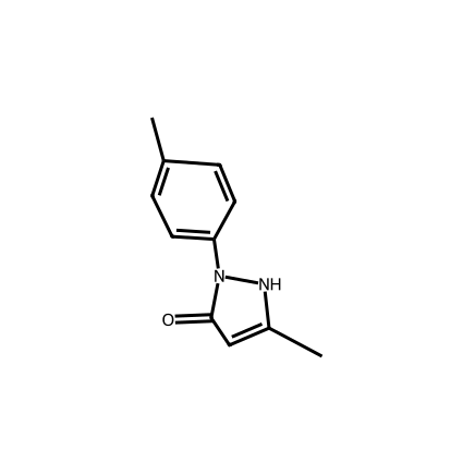 Cc1ccc(-n2[nH]c(C)cc2=O)cc1